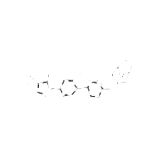 Cc1c(N)cnn1-c1ccc(-c2ccc(OC3C[C@H]4CC[C@@H](C3)N4)nn2)c(O)c1